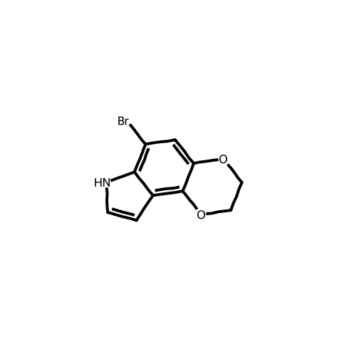 Brc1cc2c(c3cc[nH]c13)OCCO2